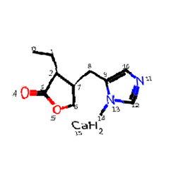 CC[C@@H]1C(=O)OC[C@@H]1Cc1cncn1C.[CaH2]